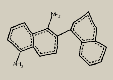 Nc1cccc2c(N)c(-c3cccc4ccccc34)ccc12